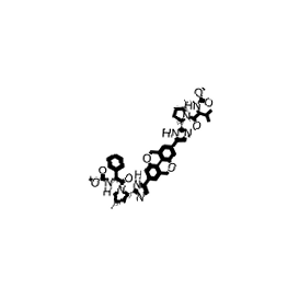 COC(=O)NC(C(=O)N1[C@@H](C)CC[C@H]1c1ncc(-c2cc3c4c(c2)OCc2cc(-c5cnc([C@@H]6C[C@H](C)CN6C(=O)[C@H](NC(=O)OC)c6ccccc6)[nH]5)cc(c2-4)OC3)[nH]1)C(C)C